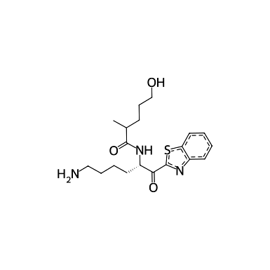 CC(CCCO)C(=O)N[C@@H](CCCCN)C(=O)c1nc2ccccc2s1